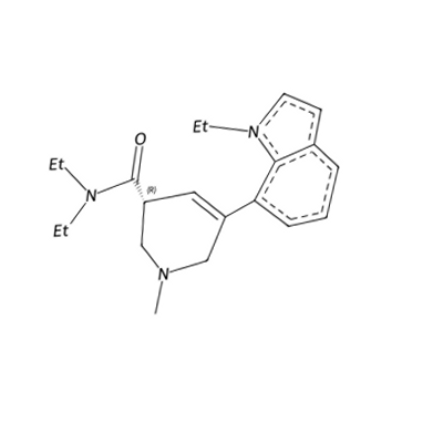 CCN(CC)C(=O)[C@@H]1C=C(c2cccc3ccn(CC)c23)CN(C)C1